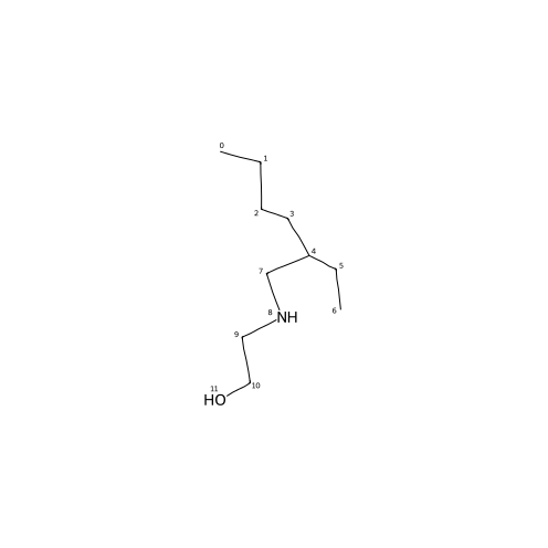 CCCCC(CC)CNCCO